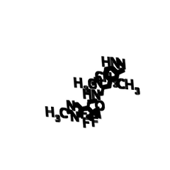 Cc1ncc([C@@H](CC(=O)NC[C@H](Cc2ccc3[nH]ncc3c2C)N(C)C)C2(C(F)(F)F)CC2)cn1